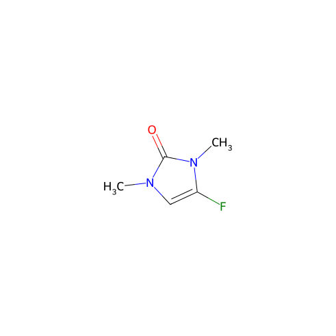 Cn1cc(F)n(C)c1=O